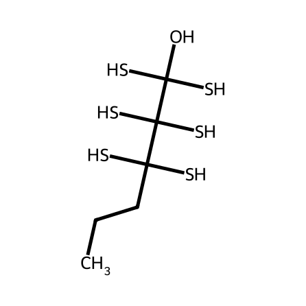 CCCC(S)(S)C(S)(S)C(O)(S)S